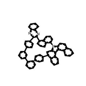 c1ccc(-c2cccc(-c3ccc(-c4nc5ccccc5nc4-c4cccc5c(-n6c7ccc8ccccc8c7c7c8ccccc8c(-c8ccccc8)cc76)cccc45)cc3)c2)cc1